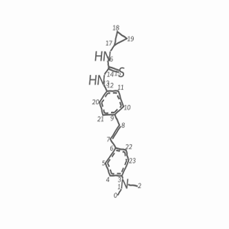 CN(C)c1ccc(C=Cc2ccc(NC(=S)NC3CC3)cc2)cc1